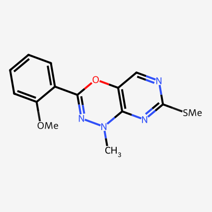 COc1ccccc1C1=NN(C)c2nc(SC)ncc2O1